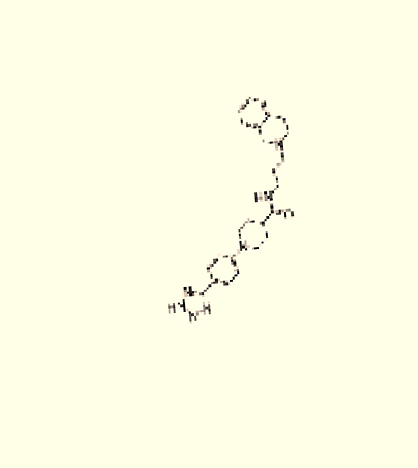 O=C(NCCCN1CCc2ccccc2C1)C1CCN(c2ccc(-c3nn[nH]n3)cc2)CC1